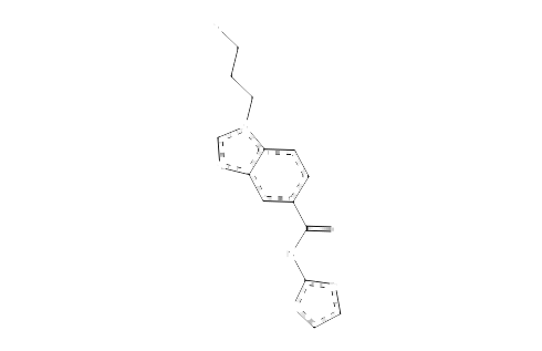 NCCCn1cnc2cc(C(=O)Nc3nccs3)ccc21